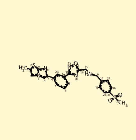 Cc1cn2cc(-c3cccc(-c4noc(CNCc5ccc(S(C)(=O)=O)cc5)n4)c3)nc2s1